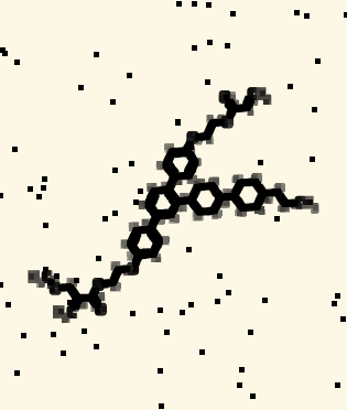 C=CC(=O)OCCOc1ccc(-c2ccc(-c3ccc(OCCOC(=O)C(=C)COC)cc3)cc2C2CCC(C3CCC(CCC)CC3)CC2)cc1